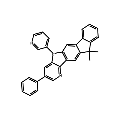 CC1(C)c2ccccc2-c2cc3c(cc21)c1ncc(-c2ccccc2)cc1n3-c1cccnc1